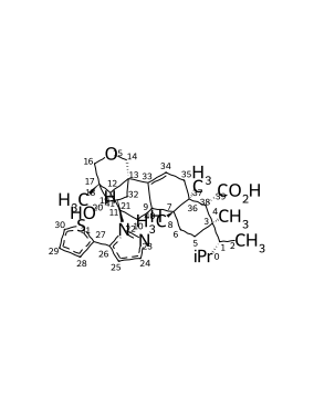 CC(C)[C@@H](C)[C@@]1(C)CC[C@]2(C)[C@H]3CC[C@@H]4[C@@]5(COC[C@@]4(C)[C@@H](O)[C@H](n4nccc4-c4cccs4)C5)C3=CC[C@@]2(C)[C@@H]1C(=O)O